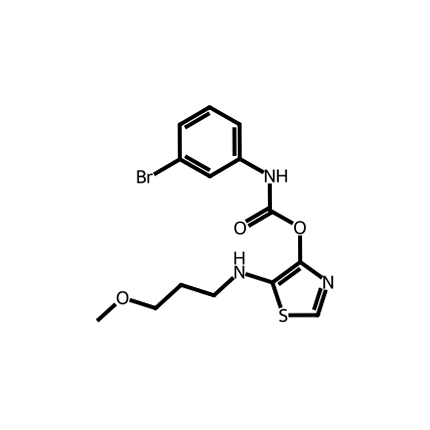 COCCCNc1scnc1OC(=O)Nc1cccc(Br)c1